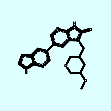 COC1COCC(Cn2c(=O)[nH]c3ncc(-c4cnc5[nH]ccc5c4)cc32)C1